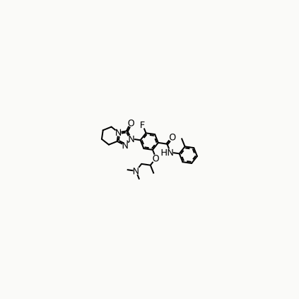 Cc1ccccc1NC(=O)c1cc(F)c(-n2nc3n(c2=O)CCCC3)cc1OC(C)CN(C)C